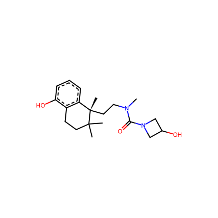 CN(CC[C@@]1(C)c2cccc(O)c2CCC1(C)C)C(=O)N1CC(O)C1